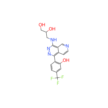 OCC(O)CNc1nnc(-c2ccc(C(F)(F)F)cc2O)c2ccncc12